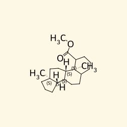 COC(=O)C1CCCC2CC[C@H]3[C@@H]4CCC[C@@]4(C)CC[C@@H]3[C@]21C